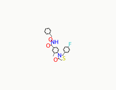 Cc1cc(C(=O)NOCc2ccccc2)ccc1N1C(=O)CSC1c1ccc(F)cc1